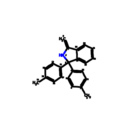 C=C1NC(c2ccc(C)cc2)(c2ccc(C)cc2)c2ccccc21